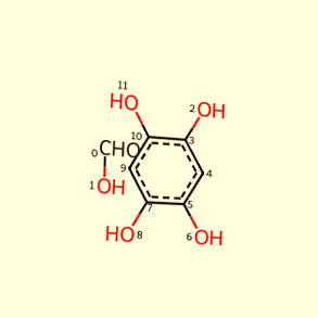 O=CO.Oc1cc(O)c(O)cc1O